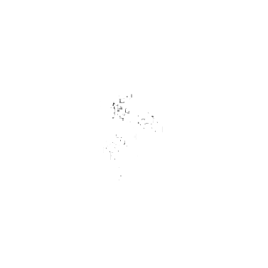 C#CC=CCNc1nc(N(C=C)[C@@H]2O[C@H](COP(=O)(O)OP(=O)(O)OP(=O)(O)OC[C@H](CO)O[C@H]([C@H](C)O)n3cnc4c(N)ncnc43)C(O)[C@@H]2O)c(C)c(=O)[nH]1